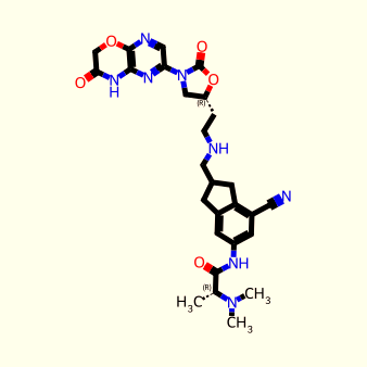 C[C@H](C(=O)Nc1cc(C#N)c2c(c1)CC(CNCC[C@@H]1CN(c3cnc4c(n3)NC(=O)CO4)C(=O)O1)C2)N(C)C